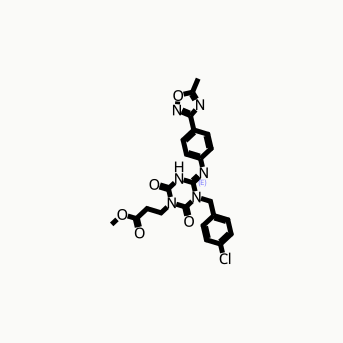 COC(=O)CCn1c(=O)[nH]/c(=N\c2ccc(-c3noc(C)n3)cc2)n(Cc2ccc(Cl)cc2)c1=O